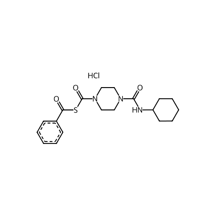 Cl.O=C(SC(=O)N1CCN(C(=O)NC2CCCCC2)CC1)c1ccccc1